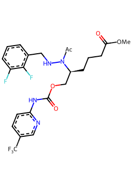 COC(=O)CCC[C@@H](COC(=O)Nc1ccc(C(F)(F)F)cn1)N(NCc1cccc(F)c1F)C(C)=O